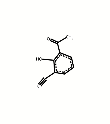 CC(=O)c1cccc(C#N)c1O